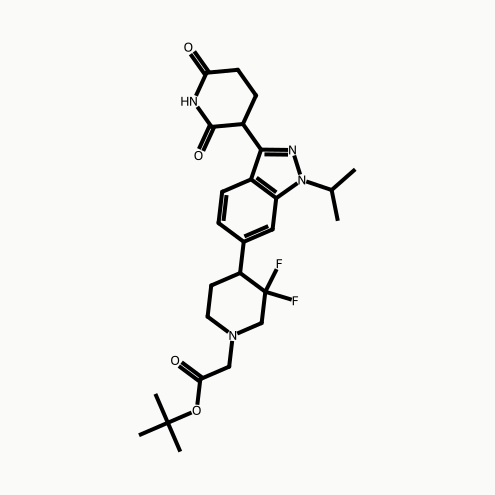 CC(C)n1nc(C2CCC(=O)NC2=O)c2ccc(C3CCN(CC(=O)OC(C)(C)C)CC3(F)F)cc21